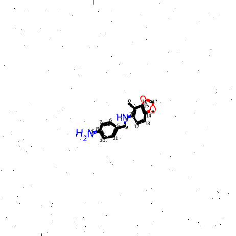 Cc1c(NCc2ccc(N)cc2)ccc2c1OCO2